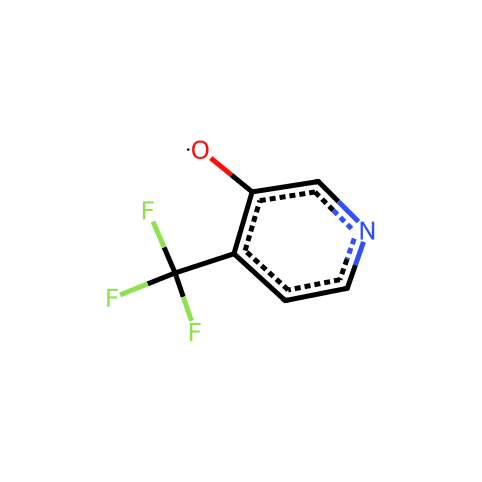 [O]c1cnccc1C(F)(F)F